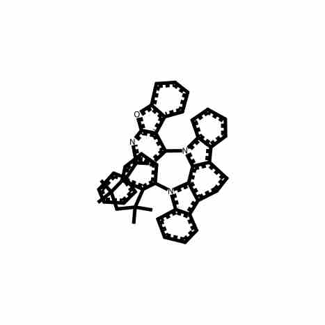 CC1(C)CC(C)(C)c2c(-n3c4ccccc4c4ccc5c6ccccc6n(-c6nc(-c7ccccc7)nc7oc8ccccc8c67)c5c43)cccc21